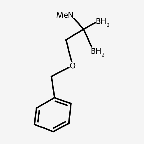 BC(B)(COCc1ccccc1)NC